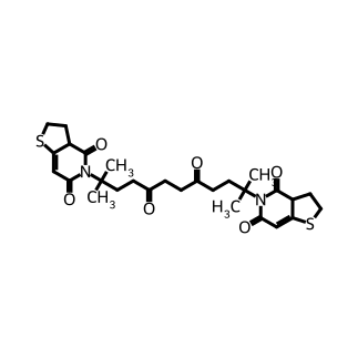 CC(C)(CCC(=O)CCC(=O)CCC(C)(C)N1C(=O)C=C2SCCC2C1=O)N1C(=O)C=C2SCCC2C1=O